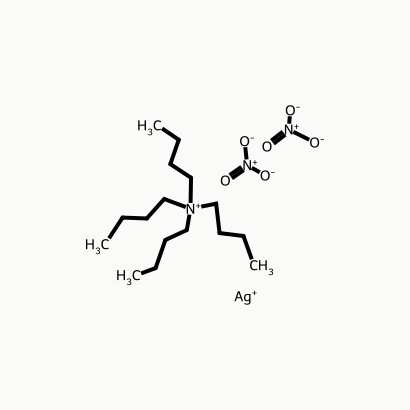 CCCC[N+](CCCC)(CCCC)CCCC.O=[N+]([O-])[O-].O=[N+]([O-])[O-].[Ag+]